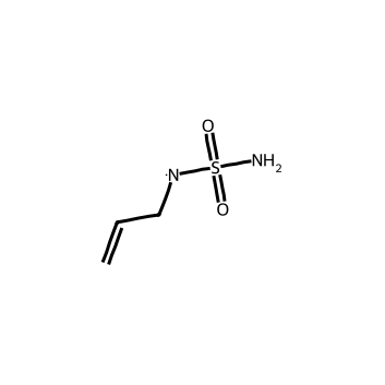 C=CC[N]S(N)(=O)=O